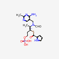 C/C(=C(\CCOP(=O)(O)O)SC(=O)c1ccc[nH]1)N(C=O)Cc1cnc(C)nc1N